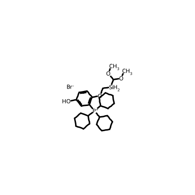 COC(OC)[SiH2]COc1ccc(O)cc1[P+](C1CCCCC1)(C1CCCCC1)C1CCCCC1.[Br-]